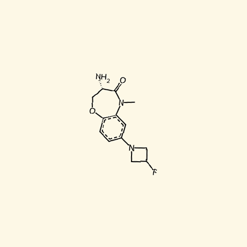 CN1C(=O)[C@@H](N)COc2ccc(N3CC(F)C3)cc21